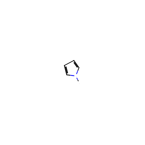 [V][n]1cccc1